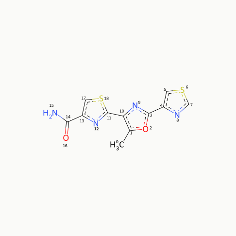 Cc1oc(-c2cscn2)nc1-c1nc(C(N)=O)cs1